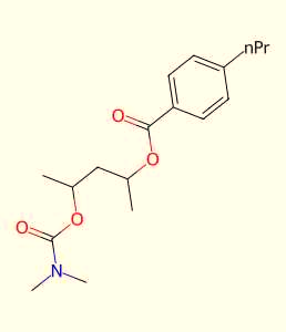 CCCc1ccc(C(=O)OC(C)CC(C)OC(=O)N(C)C)cc1